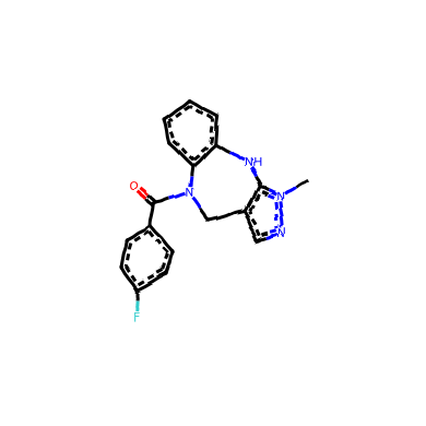 Cn1ncc2c1Nc1ccccc1N(C(=O)c1ccc(F)cc1)C2